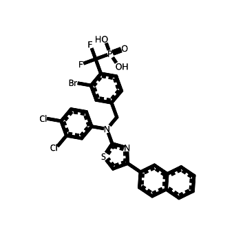 O=P(O)(O)C(F)(F)c1ccc(CN(c2ccc(Cl)c(Cl)c2)c2nc(-c3ccc4ccccc4c3)cs2)cc1Br